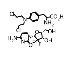 N[C@@H](Cc1ccc(N(CCCl)CCCl)cc1)C(=O)O.Nc1ccn([C@@H]2O[C@H](CO)[C@@H](O)C2(F)F)c(=O)n1